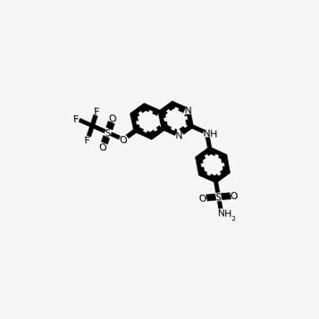 NS(=O)(=O)c1ccc(Nc2ncc3ccc(OS(=O)(=O)C(F)(F)F)cc3n2)cc1